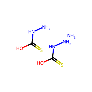 N.NNC(O)=S.NNC(O)=S